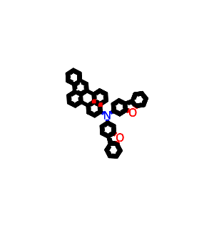 c1ccc(-c2cc3ccccc3c3cccc(-c4ccc(N(c5ccc6c(c5)oc5ccccc56)c5ccc6c(c5)oc5ccccc56)cc4)c23)cc1